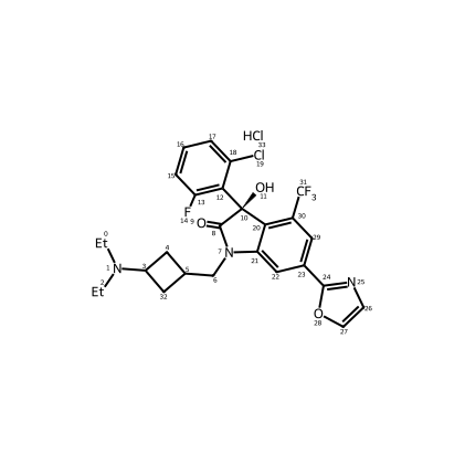 CCN(CC)C1CC(CN2C(=O)[C@](O)(c3c(F)cccc3Cl)c3c2cc(-c2ncco2)cc3C(F)(F)F)C1.Cl